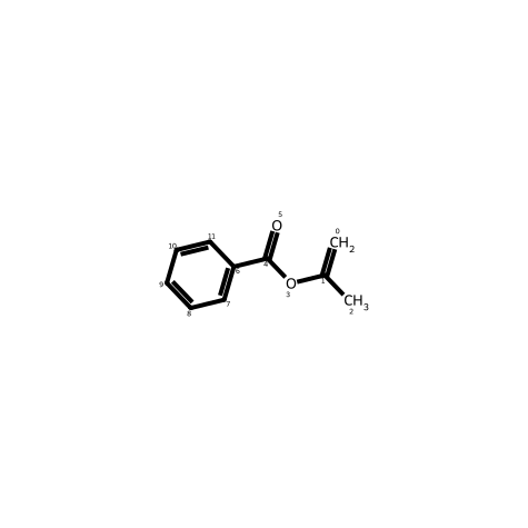 C=C(C)OC(=O)c1ccccc1